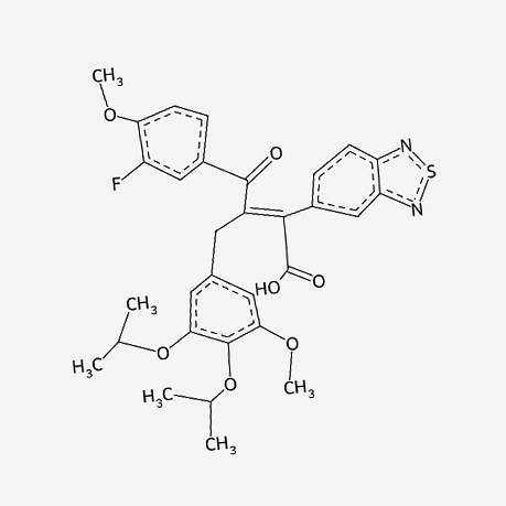 COc1ccc(C(=O)C(Cc2cc(OC)c(OC(C)C)c(OC(C)C)c2)=C(C(=O)O)c2ccc3nsnc3c2)cc1F